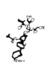 C=C(C)C(=O)OCc1cc(OCC(COC(=O)CC#N)(COC(=O)CC#N)COC(=O)C(=C)C)ccc1-c1ccc(C2CCC(CCCCC)CC2)cc1F